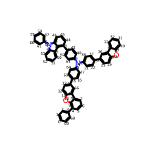 c1ccc(-c2cccc3c2oc2ccc(-c4ccc(N(c5ccc(-c6ccc7oc8ccccc8c7c6)cc5)c5ccc(-c6cccc7c6c6ccccc6n7-c6ccccc6)cc5)cc4)cc23)cc1